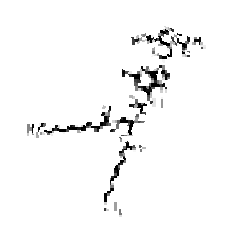 C#C[C@]1(CO)O[C@@H](n2cnc3c(NC(=O)OC(COC(=O)CCCCCCCC)COC(=O)CCCCCCCC)nc(F)nc32)C[C@@H]1OC(C)=O